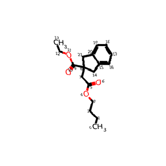 CCCCOC(=O)CC1(C(=O)OCC)Cc2ccccc2C1